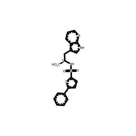 O=C(O)[C@@H](Cc1c[nH]c2ncccc12)NS(=O)(=O)c1ccc(-c2ccccc2)s1